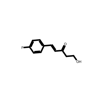 O=C(C=Cc1ccc(F)cc1)CCO